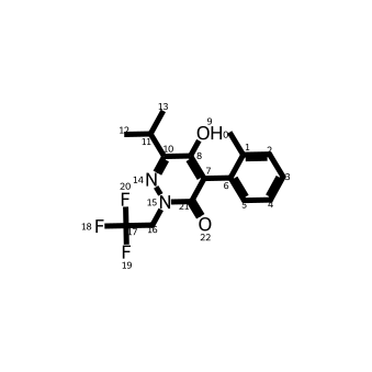 Cc1ccccc1-c1c(O)c(C(C)C)nn(CC(F)(F)F)c1=O